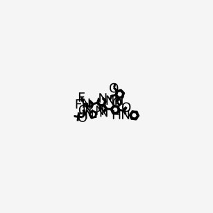 COc1cccc(OC)c1CNc1ncc(-c2cnn(C(F)F)c2)c2c1c(-c1ccc(C(=O)Nc3ccccc3)cc1)nn2[C@H]1CCN(C(=O)OC(C)(C)C)C1